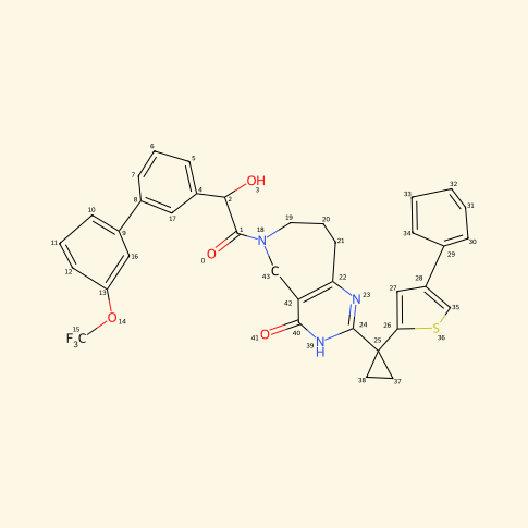 O=C(C(O)c1cccc(-c2cccc(OC(F)(F)F)c2)c1)N1CCCc2nc(C3(c4cc(-c5ccccc5)cs4)CC3)[nH]c(=O)c2C1